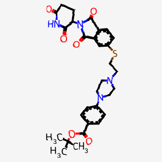 CC(C)(C)OC(=O)c1ccc(N2CCN(CCSc3ccc4c(c3)C(=O)N(C3CCC(=O)NC3=O)C4=O)CC2)cc1